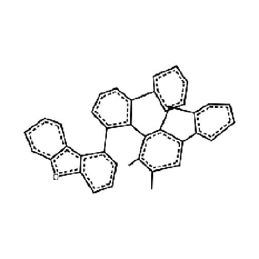 Cc1cc2c(c(-c3c(-c4ccccc4)cccc3-c3cccc4oc5ccccc5c34)c1C)Cc1ccccc1-2